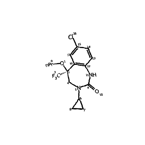 CCCO[C@]1(C(F)(F)F)CN(C2CC2)C(=O)Nc2ccc(Cl)cc21